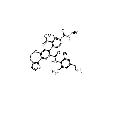 CCCNC(=O)c1ccc(-c2cc3c(cc2C(=O)Nc2c(C)cc(CN)cc2C(C)C)-c2sccc2CCO3)c(C(=O)OC)n1